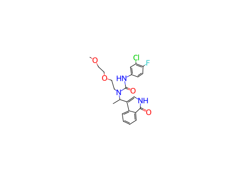 COCCOCCN(C(=O)Nc1ccc(F)c(Cl)c1)C(C)c1c[nH]c(=O)c2ccccc12